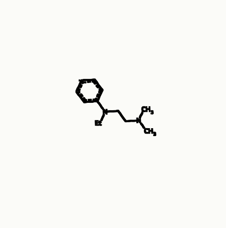 CCN(CCN(C)C)c1cc[c]cc1